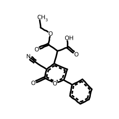 CCOC(=O)C(C(=O)O)c1cc(-c2ccccc2)oc(=O)c1C#N